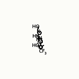 Cc1cc(C(F)(F)F)cc(O)c1-c1ccn2nc(N[C@@H]3CCCN(CCO)C3)nc2n1